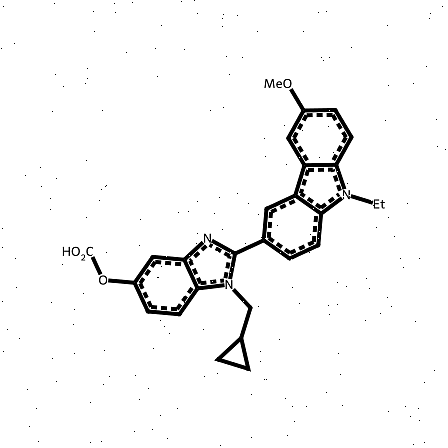 CCn1c2ccc(OC)cc2c2cc(-c3nc4cc(OC(=O)O)ccc4n3CC3CC3)ccc21